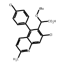 Cc1ccc2c(-c3ccc(Cl)cc3)c(C(OC(C)(C)C)C(=O)O)c(Cl)cc2n1